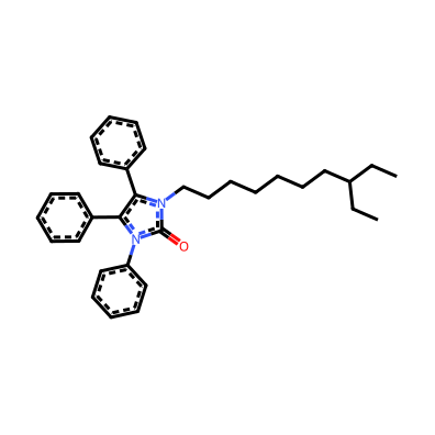 CCC(CC)CCCCCCCn1c(-c2ccccc2)c(-c2ccccc2)n(-c2ccccc2)c1=O